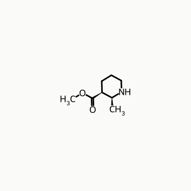 COC(=O)[C@H]1CCCN[C@H]1C